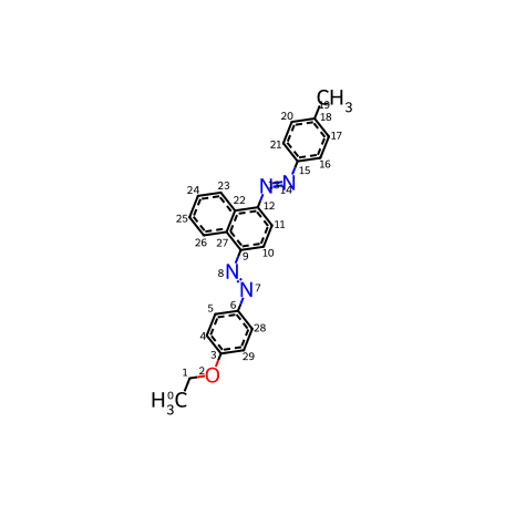 CCOc1ccc(N=Nc2ccc(N=Nc3ccc(C)cc3)c3ccccc23)cc1